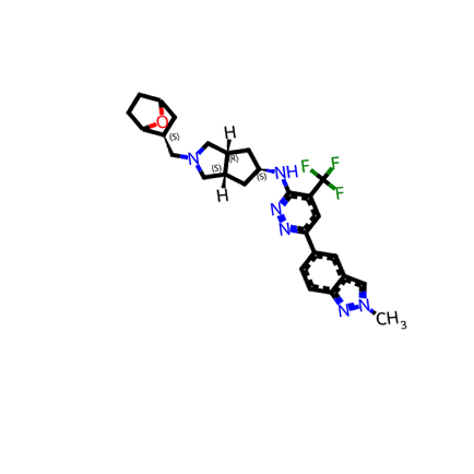 Cn1cc2cc(-c3cc(C(F)(F)F)c(N[C@H]4C[C@@H]5CN(C[C@@H]6CC7CCC6O7)C[C@@H]5C4)nn3)ccc2n1